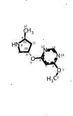 COc1cc(O[C@@H]2CN[C@@H](C)C2)ncn1